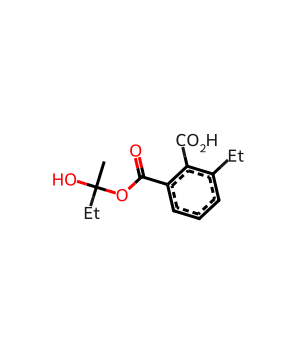 CCc1cccc(C(=O)OC(C)(O)CC)c1C(=O)O